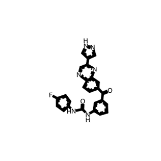 O=C(Nc1ccc(F)cc1)Nc1cccc(C(=O)c2ccc3ncc(-c4cn[nH]c4)nc3c2)c1